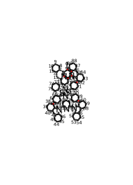 Ic1ccccc1-c1ccccc1Cc1cc(N2[Si](c3ccccc3)(c3ccccc3)N(c3cc(-n4c5ccccc5c5ccccc54)nc(-n4c5ccccc5c5ccccc54)c3)[Si]2(c2ccccc2)c2ccccc2)cc(-n2c3ccccc3c3ccccc32)n1